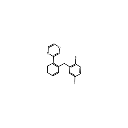 Brc1ccc(I)cc1CC1=C(C2=COC=CO2)CCC=C1